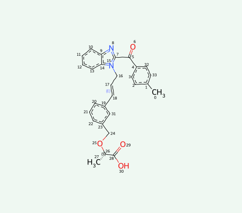 Cc1ccc(C(=O)c2nc3ccccc3n2C/C=C/c2cccc(CO[C@@H](C)C(=O)O)c2)cc1